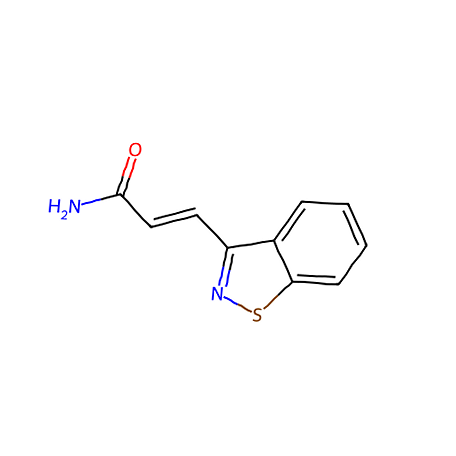 NC(=O)/C=C/c1nsc2ccccc12